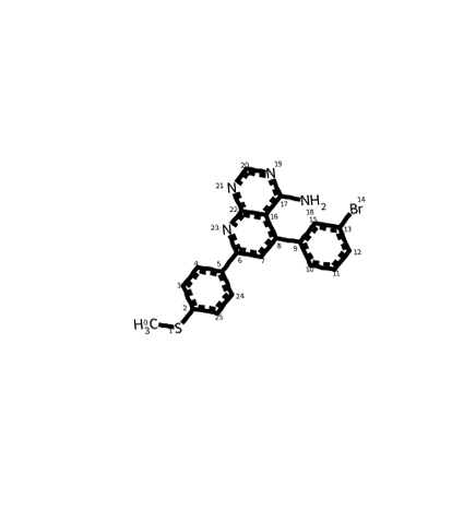 CSc1ccc(-c2cc(-c3cccc(Br)c3)c3c(N)ncnc3n2)cc1